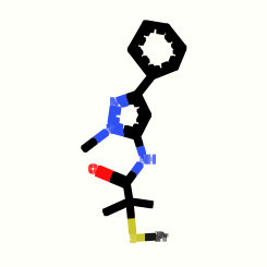 CC(C)SC(C)(C)C(=O)Nc1cc(-c2ccccc2)nn1C